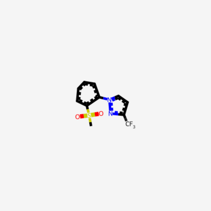 CS(=O)(=O)c1ccccc1-n1ccc(C(F)(F)F)n1